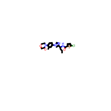 CCCC(NC(=O)c1ccc(Cl)s1)c1cn(-c2ccc(N3CCOCC3=O)c(C)c2)cn1